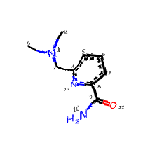 CN(C)Cc1cc[c]c(C(N)=O)n1